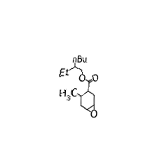 CCCCC(CC)COC(=O)C1CC2OC2CC1C